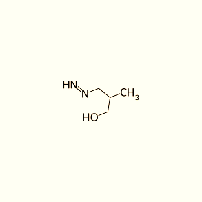 CC(CO)CN=N